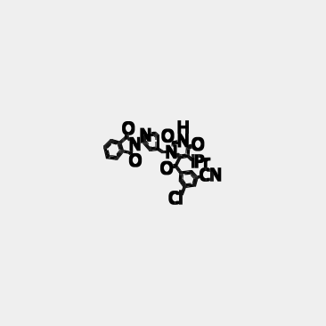 CC(C)c1c(C(=O)c2cc(Cl)cc(C#N)c2)n(Cc2ccnc(N3C(=O)c4ccccc4C3=O)c2)c(=O)[nH]c1=O